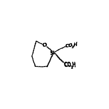 O=C(O)[Si]1(C(=O)O)CCCCO1